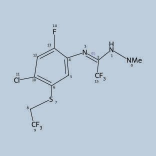 CNN/C(=N/c1cc(SCC(F)(F)F)c(Cl)cc1F)C(F)(F)F